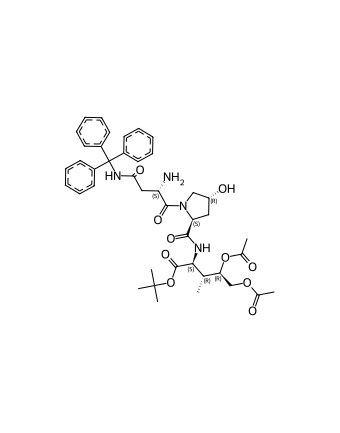 CC(=O)OC[C@H](OC(C)=O)[C@H](C)[C@H](NC(=O)[C@@H]1C[C@@H](O)CN1C(=O)[C@@H](N)CC(=O)NC(c1ccccc1)(c1ccccc1)c1ccccc1)C(=O)OC(C)(C)C